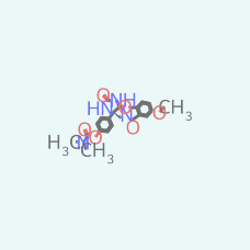 COc1ccc2c(c1)C(=O)N(C[C@@]1(c3ccc(OC(=O)N(C)C)cc3)NC(=O)NC1=O)C2